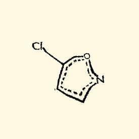 Clc1[c]cno1